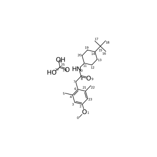 COc1cc(C)c(CC(=O)NC2CCC(C(C)(C)C)CC2)c(C)c1.O=C(O)O